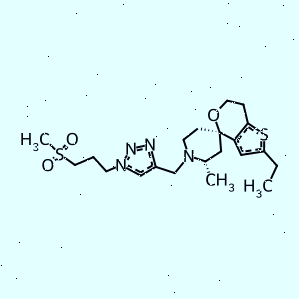 CCc1cc2c(s1)CCO[C@@]21CCN(Cc2cn(CCCS(C)(=O)=O)nn2)[C@@H](C)C1